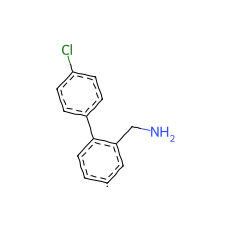 NCc1c[c]ccc1-c1ccc(Cl)cc1